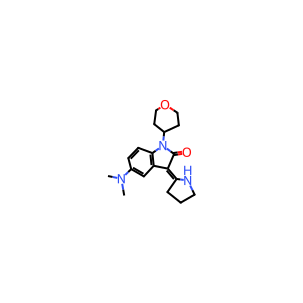 CN(C)c1ccc2c(c1)/C(=C1\CCCN1)C(=O)N2C1CCOCC1